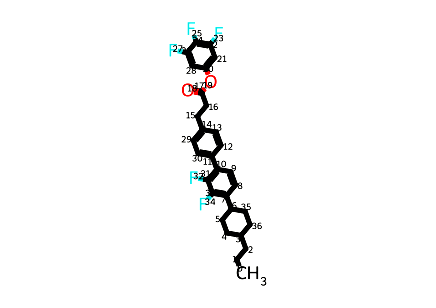 CCCC1CCC(c2ccc(-c3ccc(CCC(=O)Oc4cc(F)c(F)c(F)c4)cc3)c(F)c2F)CC1